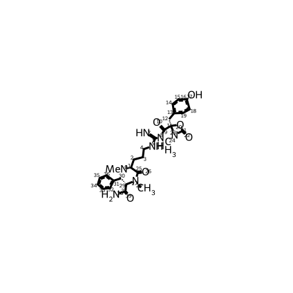 CN[C@@H](CCCNC(=N)NC(=O)[C@@]1(Cc2ccc(O)cc2)OC(=O)N1C)C(=O)N(C)[C@@H](Cc1ccccc1)C(N)=O